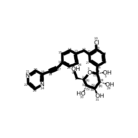 OC[C@H]1O[C@@](O)(c2ccc(Cl)c(Cc3ccc(C#Cc4cnccn4)cc3)c2)[C@H](O)[C@@H](O)[C@@H]1O